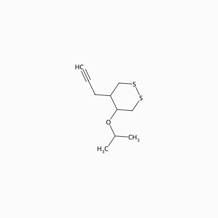 C#CCC1CSSCC1OC(C)C